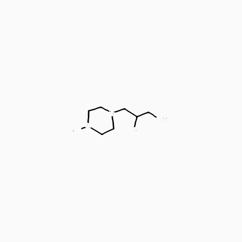 CCCCN1CCN(CC(O)COC)CC1